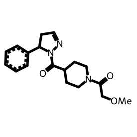 COCC(=O)N1CCC(C(=O)N2N=CCC2c2ccccc2)CC1